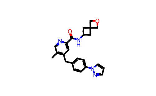 Cc1cnc(C(=O)NC2CC3(COC3)C2)cc1Cc1ccc(-n2cccn2)cc1